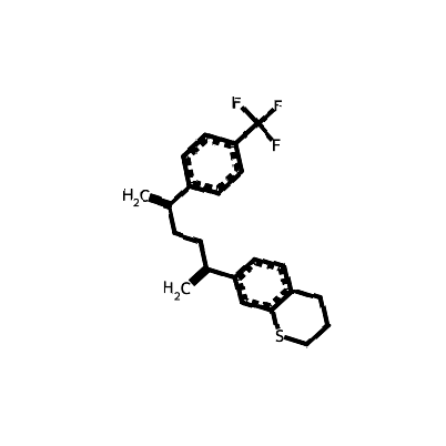 C=C(CCC(=C)c1ccc2c(c1)SCCC2)c1ccc(C(F)(F)F)cc1